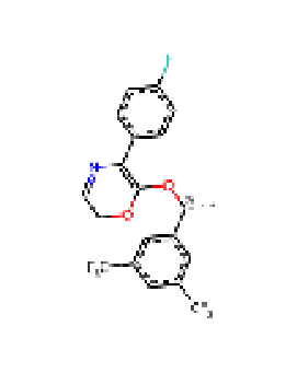 C[C@@H](OC1=C(c2ccc(F)cc2)N=CCO1)c1cc(C(F)(F)F)cc(C(F)(F)F)c1